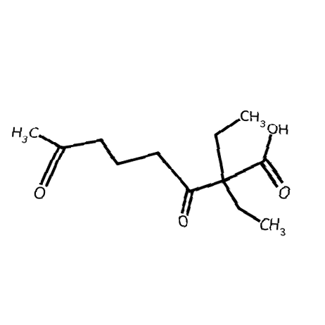 CCC(CC)(C(=O)O)C(=O)CCCC(C)=O